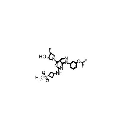 CS(=O)(=O)[C@H]1C[C@H](Nc2nc(N3C[C@H](O)[C@@H](F)C3)c3cnn(-c4cccc(OC(F)F)c4)c3n2)C1